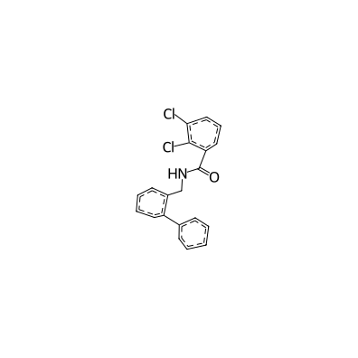 O=C(NCc1ccccc1-c1ccccc1)c1cccc(Cl)c1Cl